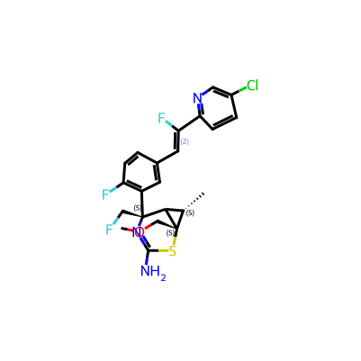 COC[C@@]12SC(N)=N[C@](CF)(c3cc(/C=C(\F)c4ccc(Cl)cn4)ccc3F)C1[C@@H]2C